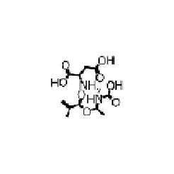 C=C(C)C(=O)OC(C)NC(=O)O.NC(CC(=O)O)C(=O)O